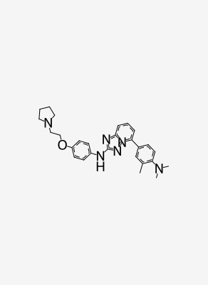 Cc1cc(-c2cccc3nc(Nc4ccc(OCCN5CCCC5)cc4)nn23)ccc1N(C)C